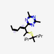 C/C=C\C=C(\c1nc(C)nc(C)n1)C(C)SC(C)(CCC)C(C)C